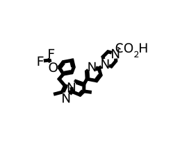 Cc1cc2nc(C)c(Cc3ccccc3OC(F)F)n2cc1-c1ccc(N2CCN(C(=O)O)CC2)nc1